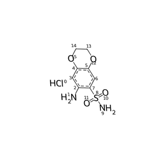 Cl.Nc1cc2c(cc1S(N)(=O)=O)OCCO2